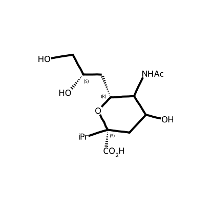 CC(=O)NC1C(O)C[C@@](C(=O)O)(C(C)C)O[C@@H]1C[C@H](O)CO